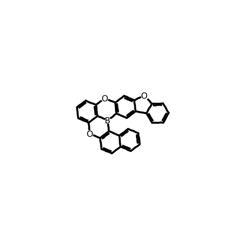 c1cc2c3c(c1)Oc1ccc4ccccc4c1B3c1cc3c(cc1O2)oc1ccccc13